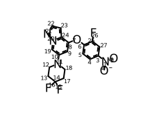 O=[N+]([O-])c1ccc(Oc2cc(N3CCC(F)(F)CC3)cn3nccc23)c(F)c1